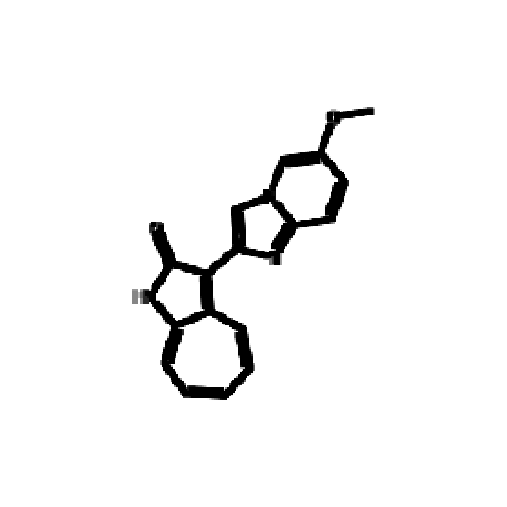 COc1ccc2nc(-c3c4cccccc-4[nH]c3=O)cn2c1